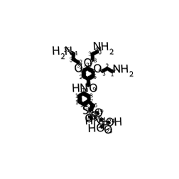 NCCCOc1cc(C(=O)Nc2ccc3sc(S(=O)(=O)NCP(=O)(O)O)cc3c2)cc(OCCCN)c1OCCCN